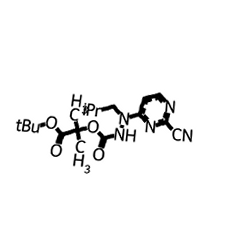 CC(C)CN(NC(=O)OC(C)(C)C(=O)OC(C)(C)C)c1ccnc(C#N)n1